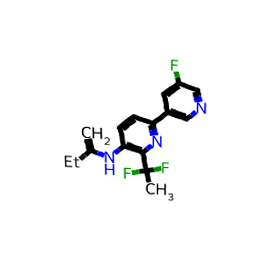 C=C(CC)Nc1ccc(-c2cncc(F)c2)nc1C(C)(F)F